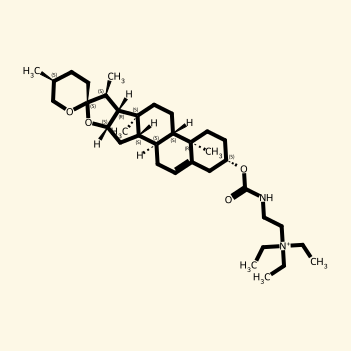 CC[N+](CC)(CC)CCNC(=O)O[C@H]1CC[C@@]2(C)C(=CC[C@H]3[C@@H]4C[C@@H]5O[C@@]6(CC[C@H](C)CO6)[C@@H](C)[C@@H]5[C@@]4(C)CC[C@@H]32)C1